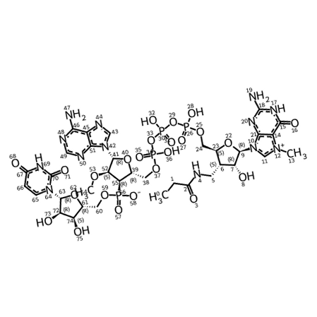 CCC(=O)NC[C@H]1[C@@H](O)[C@H](n2c[n+](C)c3c(=O)[nH]c(N)nc32)O[C@@H]1COP(=O)(O)OP(=O)(O)OP(=O)(O)OC[C@H]1O[C@@H](n2cnc3c(N)ncnc32)[C@H](OC)[C@@H]1P(=O)([O-])OC[C@H]1O[C@@H](n2ccc(=O)[nH]c2=O)[C@H](O)[C@@H]1O